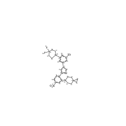 CCc1cc(-c2cnn(-c3ccc([N+](=O)[O-])cc3N3CCC4(CC3)CC4)c2)nc(N2CCC(F)(F)CC2)n1